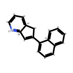 C1=C(c2cccc3ccccc23)Cc2cccnc21